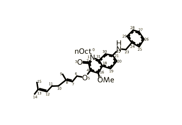 CCCCCCCCn1c(=O)c(OC/C=C(\C)CCC=C(C)C)c(OC)c2ccc(NCc3ccccc3)cc21